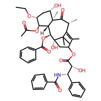 CCO[C@@H]1C[C@H](O)[C@@]2(C)C(=O)[C@H](C)C3=C(C)C(OC(=O)[C@H](O)[C@@H](NC(=O)c4ccccc4)c4ccccc4)C[C@@](O)([C@@H](OC(=O)c4ccccc4)[C@@H]2[C@H]1OC(C)=O)C3(C)C